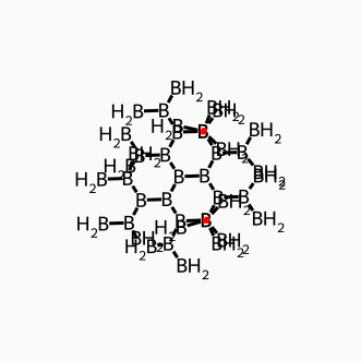 BB(B)B(B(B)B)B(B(B)B)B(B(B(B(B)B)B(B)B)B(B(B)B)B(B)B)B(B(B(B)B)B(B)B)B(B(B)B)B(B)B